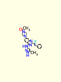 CC(=O)N1CCN(c2ccc3c(Nc4cc(C)[nH]n4)nc(/C(F)=C/c4ccccc4)nc3c2)CC1